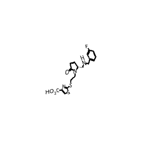 O=C(O)c1csc(SCCN2C(=O)CC[C@@H]2CNCc2cccc(F)c2)n1